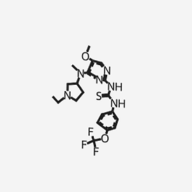 CCN1CCC(N(C)c2nc(NC(=S)Nc3ccc(OC(F)(F)F)cc3)ncc2OC)C1